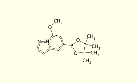 COc1cc(B2OC(C)(C)C(C)(C)O2)cc2ccnn12